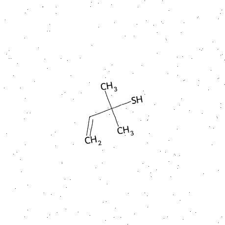 C=CC(C)(C)S